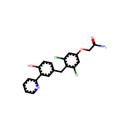 NC(=O)COc1cc(Cl)c(Cc2ccc(O)c(-c3ccccn3)c2)c(Cl)c1